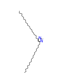 CCCCCCCCCCCCCCCCCCc1cc(CCCCCCCCCCCCCCCCCC)n[c]n1